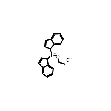 CC[O][Ti+]([CH]1C=Cc2ccccc21)[CH]1C=Cc2ccccc21.[Cl-]